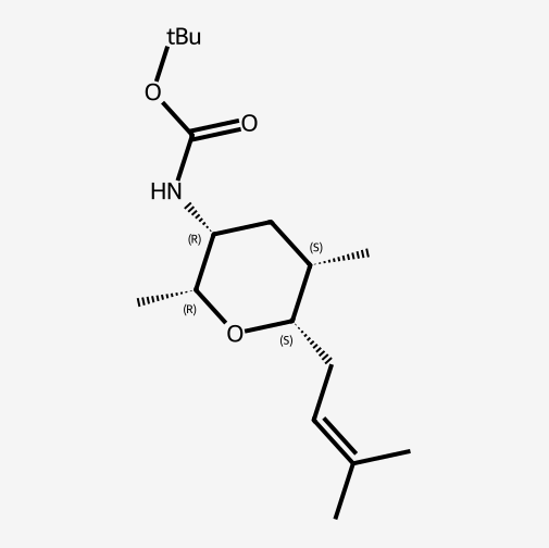 CC(C)=CC[C@@H]1O[C@H](C)[C@H](NC(=O)OC(C)(C)C)C[C@@H]1C